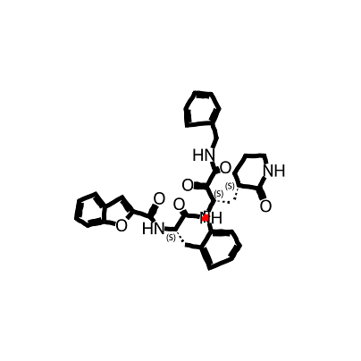 O=C(NCc1ccccc1)C(=O)[C@H](C[C@@H]1CCCNC1=O)NC(=O)[C@H](Cc1ccccc1F)NC(=O)c1cc2ccccc2o1